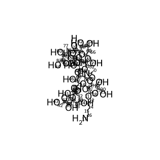 CC(=O)NC1[C@H](O[C@@H]2[C@H](O)C(OCCCCCN)OC(CO)[C@@H]2O)OC(CO[C@]2(C(=O)O)C[C@@H](O)[C@@H](C)C([C@H](O)[C@H](O)CO)O2)[C@@H](O)[C@@H]1O[C@@H]1OC(CO)[C@H](OC2OC(CO)[C@H](O)[C@H](O)[C@@H]2C)[C@H](O[C@@]2(C(=O)O)CC(O)[C@H](C)C([C@H](O)[C@H](O)CO)O2)C1O